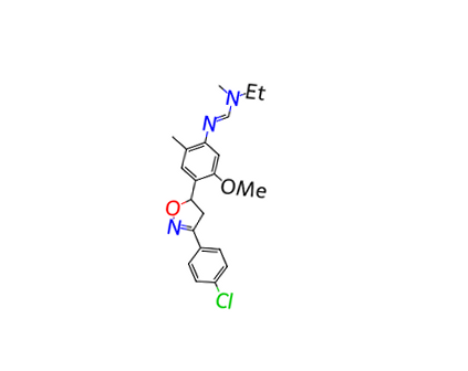 CCN(C)C=Nc1cc(OC)c(C2CC(c3ccc(Cl)cc3)=NO2)cc1C